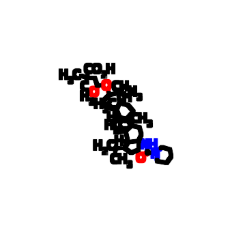 C=C(C)[C@@H]1CC[C@]2(NC(=O)N3CCCCC3)CC[C@]3(C)C(CC[C@@H]4C5(C)CCC(OC(=O)CC(C)(C)C(=O)O)C(C)(C)[C@@H]5CCC43C)[C@@H]12